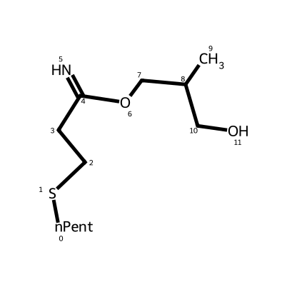 CCCCCSCCC(=N)OCC(C)CO